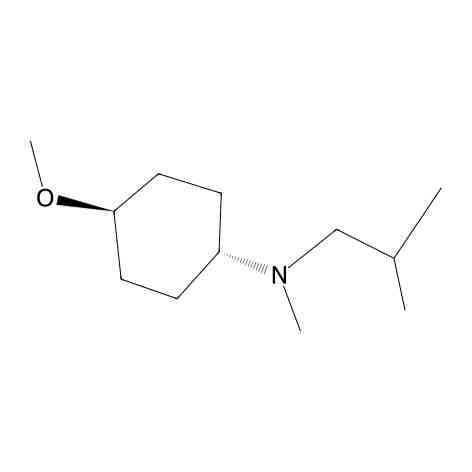 CO[C@H]1CC[C@H](N(C)CC(C)C)CC1